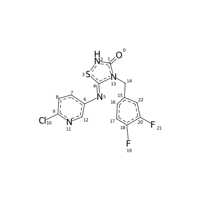 O=c1[nH]s/c(=N\c2ccc(Cl)nc2)n1Cc1ccc(F)c(F)c1